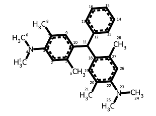 Cc1cc(N(C)C)c(C)cc1C(c1ccccc1)c1cc(C)c(N(C)C)cc1C